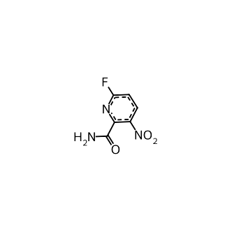 NC(=O)c1nc(F)ccc1[N+](=O)[O-]